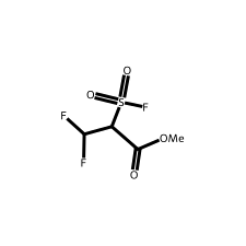 COC(=O)C(C(F)F)S(=O)(=O)F